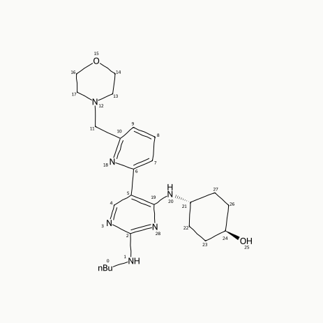 CCCCNc1ncc(-c2cccc(CN3CCOCC3)n2)c(N[C@H]2CC[C@H](O)CC2)n1